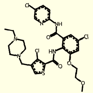 CCN1CCN(Cc2csc(C(=O)Nc3c(OCCOC)cc(Cl)cc3C(=O)Nc3ccc(Cl)cn3)c2Cl)CC1